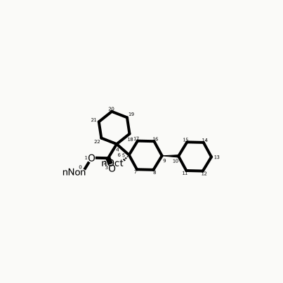 CCCCCCCCCOC(=O)C1([C@]2(CCCCCCCC)CC[C@H](C3CCCCC3)CC2)CCCCC1